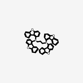 c1ccc2c(c1)oc1cccc(P(CCCP(c3cccc4oc5ccccc5c34)c3cccc4oc5ccccc5c34)c3cccc4oc5ccccc5c34)c12